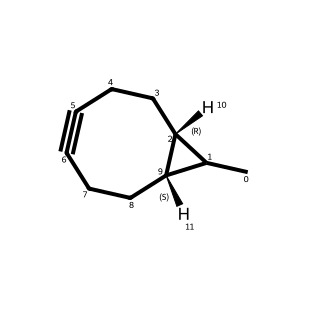 CC1[C@H]2CCC#CCC[C@@H]12